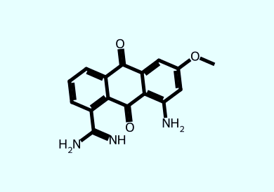 COc1cc(N)c2c(c1)C(=O)c1cccc(C(=N)N)c1C2=O